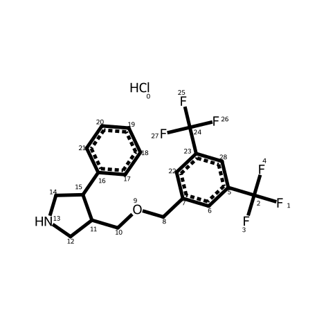 Cl.FC(F)(F)c1cc(COCC2CNCC2c2ccccc2)cc(C(F)(F)F)c1